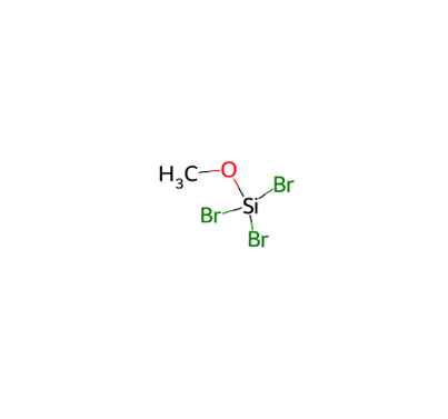 CO[Si](Br)(Br)Br